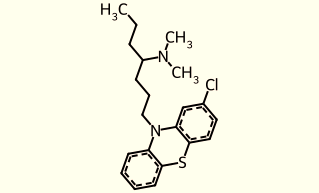 CCCC(CCCN1c2ccccc2Sc2ccc(Cl)cc21)N(C)C